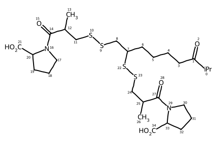 CC(C)C(=O)CCCCC(CSSCC(C)C(=O)N1CCCC1C(=O)O)SSCC(C)C(=O)N1CCCC1C(=O)O